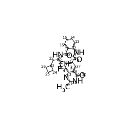 Cc1nc2c(F)cc(S(=O)(=O)Nc3ccccc3CN[C@@H](C)CC3CCC3)cc2c(=O)[nH]1